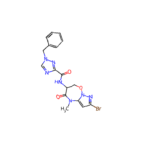 CN1C(=O)C(NC(=O)c2ncn(Cc3ccccc3)n2)COn2nc(Br)cc21